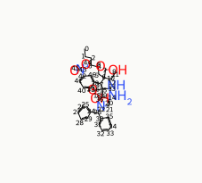 CCCCCCC1(C(=O)O)C(C)NC(N)C(C(=O)O)(C2CCN(C(c3ccccc3)c3ccccc3)C2)C1c1cccc([N+](=O)[O-])c1